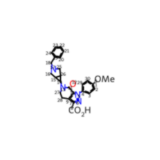 COc1ccc(-n2nc(C(=O)O)c3c2C(=O)N(C2C4CN(Cc5ccccc5)CC42)CC3)cc1